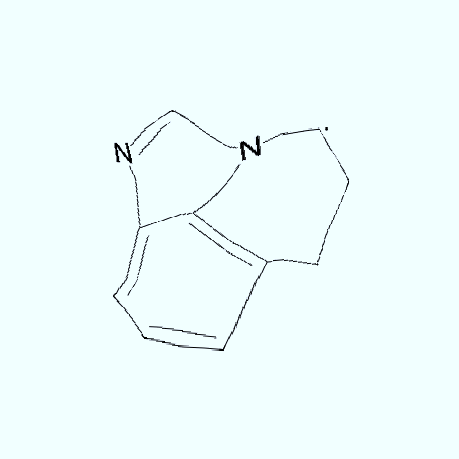 [CH]1CCc2cccc3ncn1c23